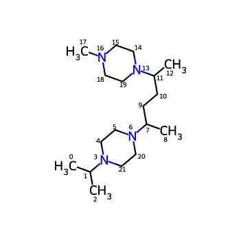 CC(C)N1CCN(C(C)CCC(C)N2CCN(C)CC2)CC1